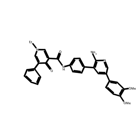 CCn1cc(C(=O)Nc2ccc(-c3cc(-c4ccc(OC)c(OC)c4)cnc3N)cc2)c(=O)c(-c2ccccc2)c1